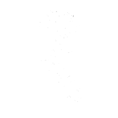 [2H]C([2H])(C(=O)N1CC=C(c2ccc(-c3ncn(C)n3)cc2)CC1)N1CC[C@@](SC)(C(=O)Nc2ccc3[nH]nc(-c4ccnc(OC)c4)c3c2)C1